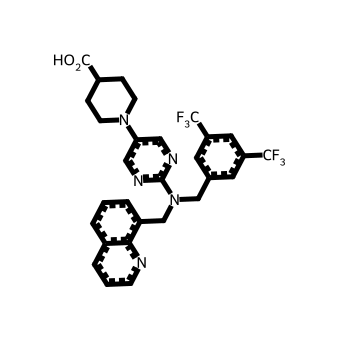 O=C(O)C1CCN(c2cnc(N(Cc3cc(C(F)(F)F)cc(C(F)(F)F)c3)Cc3cccc4cccnc34)nc2)CC1